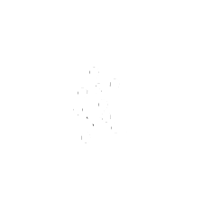 O=S(=O)([O-])[O-].O=[N+]([O-])[O-].[Cu+3]